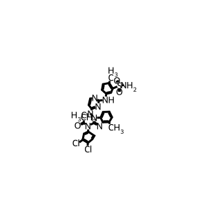 CC(=O)N(c1ccc(Cl)c(Cl)c1)c1nc2c(C)cccc2n1N(C)c1ccnc(Nc2ccc(C)c(S(N)(=O)=O)c2)n1